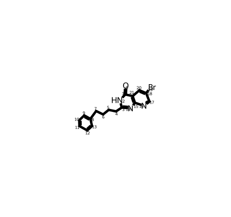 O=c1[nH]c(CCCCc2ccccc2)nc2ncc(Br)cc12